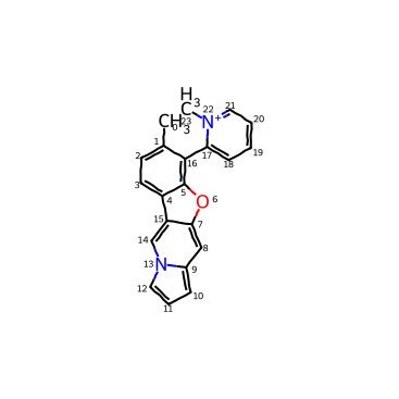 Cc1ccc2c(oc3cc4cccn4cc32)c1-c1cccc[n+]1C